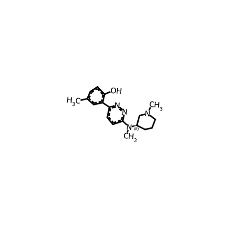 Cc1ccc(O)c(-c2ccc(N(C)[C@@H]3CCCN(C)C3)nn2)c1